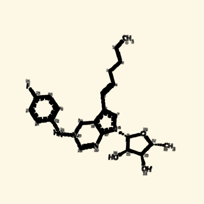 CCCCC=Cc1cn([C@@H]2O[C@H](C)[C@@H](O)[C@H]2O)c2c1CN(Nc1ccc(F)cc1)C=N2